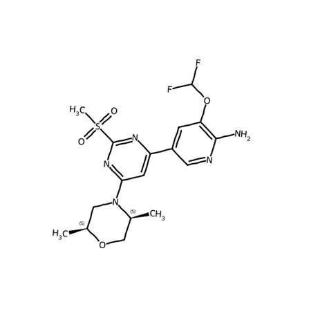 C[C@H]1CN(c2cc(-c3cnc(N)c(OC(F)F)c3)nc(S(C)(=O)=O)n2)[C@@H](C)CO1